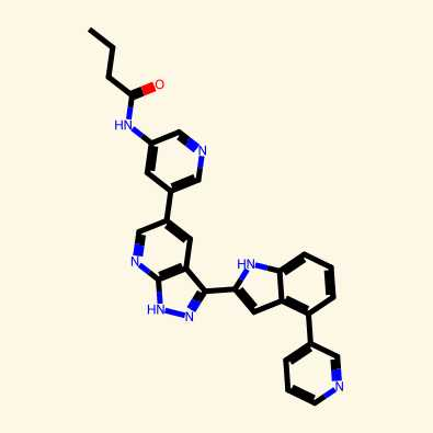 CCCC(=O)Nc1cncc(-c2cnc3[nH]nc(-c4cc5c(-c6cccnc6)cccc5[nH]4)c3c2)c1